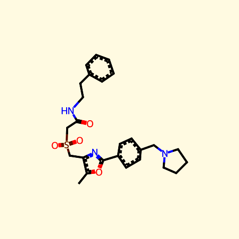 Cc1oc(-c2ccc(CN3CCCC3)cc2)nc1CS(=O)(=O)CC(=O)NCCc1ccccc1